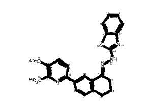 COc1ccc(-c2ccc3c(c2)/C(=N/Nc2nc4ccccc4s2)CCC3)nc1C(=O)O